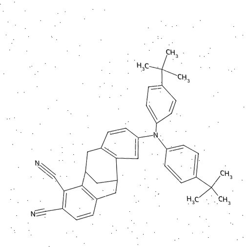 CC(C)(C)c1ccc(N(c2ccc(C(C)(C)C)cc2)c2ccc3c(c2)C2Cc4ccc(C#N)c(C#N)c4C(C3)C2)cc1